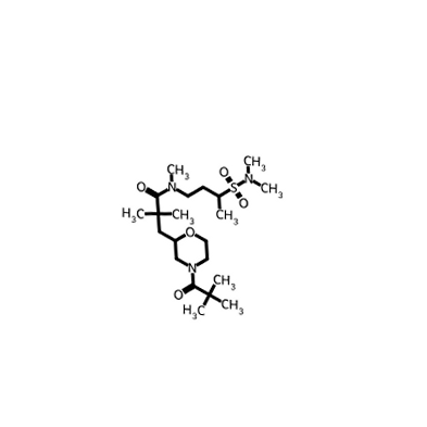 CC(CCN(C)C(=O)C(C)(C)CC1CN(C(=O)C(C)(C)C)CCO1)S(=O)(=O)N(C)C